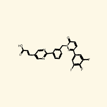 O=C(O)/C=C/c1cnc(-c2cccc(Cn3nc(-c4cc(F)c(F)c(F)c4)ccc3=O)c2)nc1